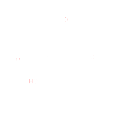 C=CCOCC=C.O=C1C=CC(=O)c2c(O)cccc21